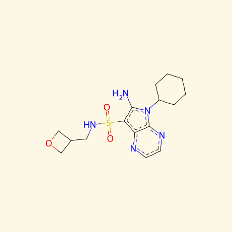 Nc1c(S(=O)(=O)NCC2COC2)c2nccnc2n1C1CCCCC1